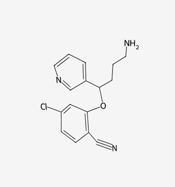 N#Cc1ccc(Cl)cc1OC(CCCN)c1cccnc1